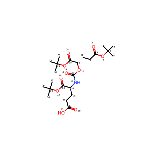 CC(C)(C)OC(=O)CC[C@H](OC(=O)N[C@@H](CCC(=O)O)C(=O)OC(C)(C)C)C(=O)OC(C)(C)C